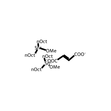 CCCCCCC[CH2][Sn+]([CH2]CCCCCCC)[O]C.CCCCCCC[CH2][Sn+]([CH2]CCCCCCC)[O]C.O=C([O-])C=CC(=O)[O-]